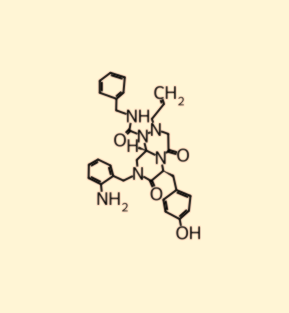 C=CCN1CC(=O)N2[C@@H](Cc3ccc(O)cc3)C(=O)N(Cc3ccccc3N)C[C@@H]2N1C(=O)NCc1ccccc1